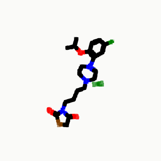 CC(C)Oc1ccc(F)cc1N1CCN(CCCCN2C(=O)CSC2=O)CC1.Cl